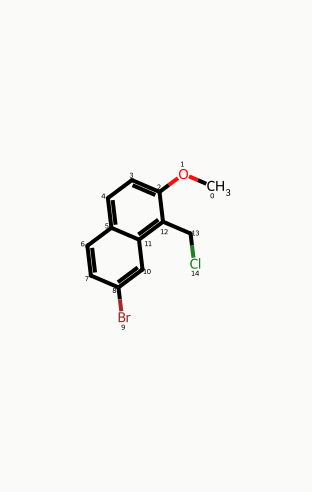 COc1ccc2ccc(Br)cc2c1CCl